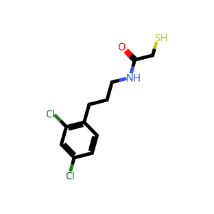 O=C(CS)NCCCc1ccc(Cl)cc1Cl